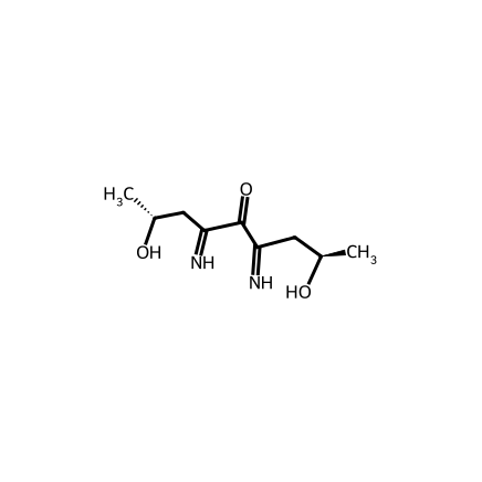 C[C@@H](O)CC(=N)C(=O)C(=N)C[C@@H](C)O